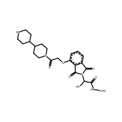 CCCC(C(=O)NC=O)N1C(=O)c2cccc(OCC(=O)N3CCC(C4CCNCC4)CC3)c2C1=O